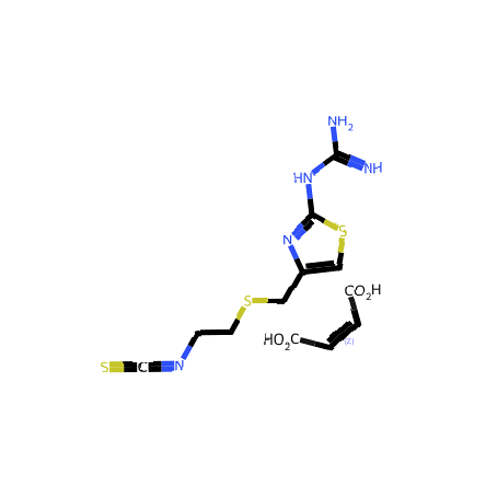 N=C(N)Nc1nc(CSCCN=C=S)cs1.O=C(O)/C=C\C(=O)O